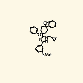 CSc1cccc(-c2nc(C3(Oc4ccccc4)CCC(C#N)(c4ccccc4)CC3)n(CC3CC3)n2)c1